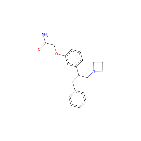 NC(=O)COc1cccc(C(Cc2ccccc2)CN2CCC2)c1